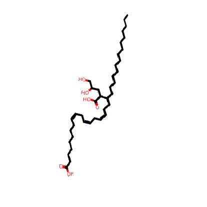 CCCCCCCCCCCCCCCC(CC/C=C\C/C=C\C/C=C\CCCCCCCC(=O)O)C(CC(O)CO)C(=O)O